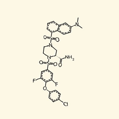 CN(C)c1ccc2c(S(=O)(=O)N3CCN(S(=O)(=O)c4cc(F)c(Oc5ccc(Cl)cc5)c(F)c4)[C@@H](C(N)=O)C3)cccc2c1